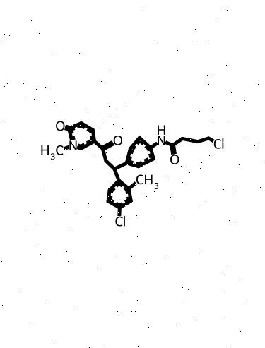 Cc1cc(Cl)ccc1C(CC(=O)c1ccc(=O)n(C)c1)c1ccc(NC(=O)CCCCl)cc1